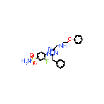 NS(=O)(=O)c1ccc(-n2nc(CNCCOc3ccccc3)nc2Cc2ccccc2)c(F)c1